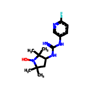 CC1(C)CC(NC(=N)Nc2ccc(F)nc2)C(C)(C)N1O